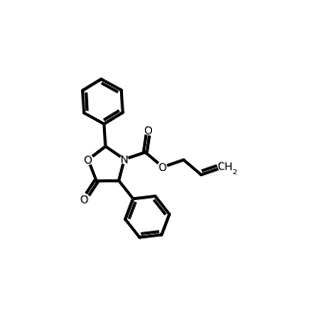 C=CCOC(=O)N1C(c2ccccc2)OC(=O)C1c1ccccc1